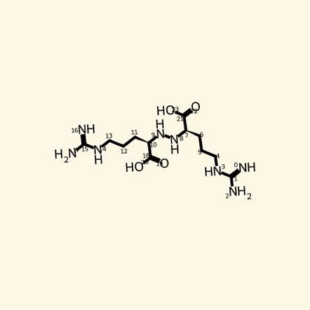 N=C(N)NCCC[C@@H](NN[C@H](CCCNC(=N)N)C(=O)O)C(=O)O